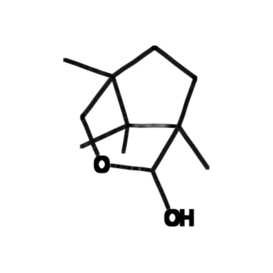 CC12CCC(C)(C(O)OC1)C2(C)C